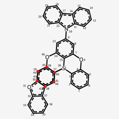 c1ccc2c(c1)Oc1cc(-n3c4ccccc4c4ccccc43)cc3c1[Si]2(c1ccc2oc4ccccc4c2c1)c1ccccc1O3